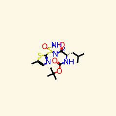 Cc1cnc(S(N)(=O)=NC(=O)[C@H](CC(C)C)NC(=O)OC(C)(C)C)s1